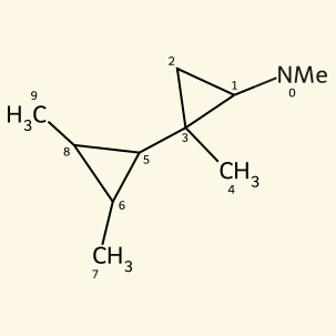 CNC1CC1(C)C1C(C)C1C